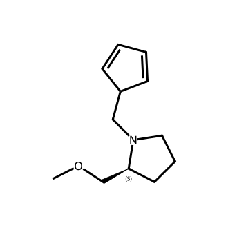 COC[C@@H]1CCCN1CC1C=CC=C1